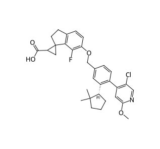 COc1cc(-c2ccc(COc3ccc4c(c3F)C3(CC4)CC3C(=O)O)cc2[C@@H]2CCCC2(C)C)c(Cl)cn1